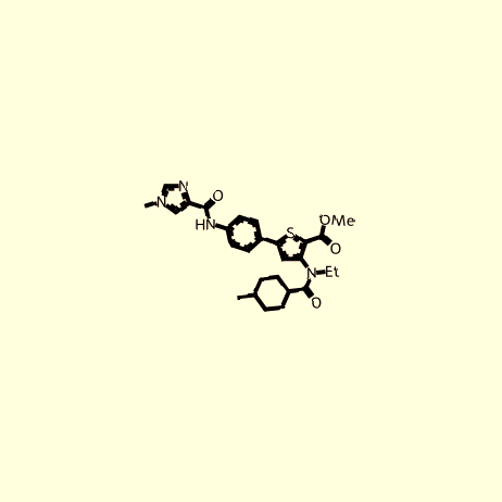 CCN(C(=O)C1CCC(C)CC1)c1cc(-c2ccc(NC(=O)c3cn(C)cn3)cc2)sc1C(=O)OC